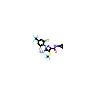 Nc1c(SC(F)(F)F)c(C(=O)NC2CC2)nn1-c1c(Cl)cc(C(F)(F)F)cc1Cl